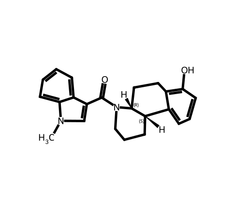 Cn1cc(C(=O)N2CCC[C@H]3c4cccc(O)c4CC[C@H]32)c2ccccc21